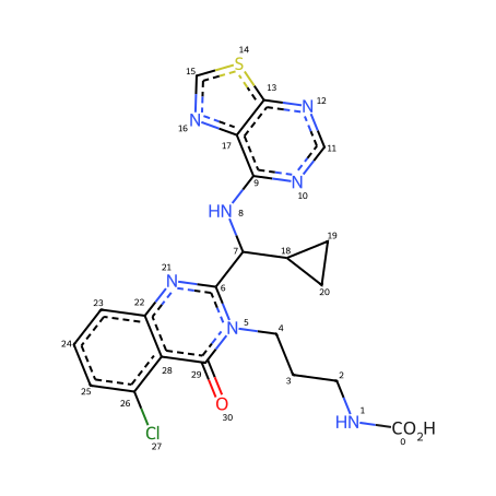 O=C(O)NCCCn1c(C(Nc2ncnc3scnc23)C2CC2)nc2cccc(Cl)c2c1=O